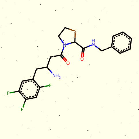 NC(CC(=O)N1CCSC1C(=O)NCc1ccccc1)Cc1cc(F)c(F)cc1F